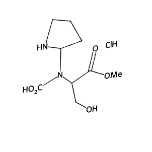 COC(=O)C(CO)N(C(=O)O)C1CCCN1.Cl